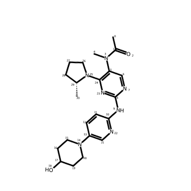 CC(=O)N(C)c1cnc(Nc2ccc(N3CCC(O)CC3)cn2)nc1N1CCC[C@H]1C